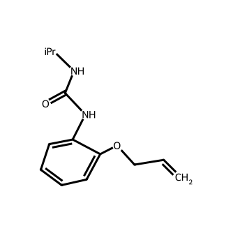 C=CCOc1ccccc1NC(=O)NC(C)C